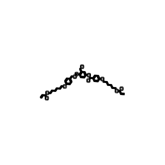 C=CC(=O)OCCCCCCOc1ccc(COOc2ccc(OC(=O)c3ccc(OCCCCCCOC(=O)C=C)cc3)cc2C=O)cc1